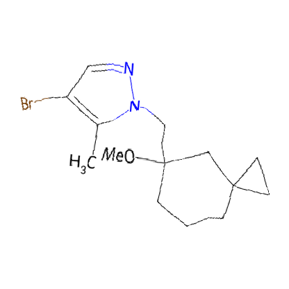 COC1(Cn2ncc(Br)c2C)CCCC2(CC2)C1